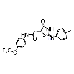 Cc1ccc(/N=C2\NC(=O)C(CC(=O)Nc3ccc(OC(F)(F)F)cc3)S2)cc1